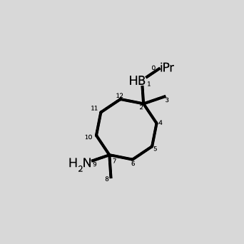 CC(C)BC1(C)CCCC(C)(N)CCC1